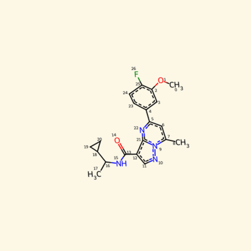 COc1cc(-c2cc(C)n3ncc(C(=O)NC(C)C4CC4)c3n2)ccc1F